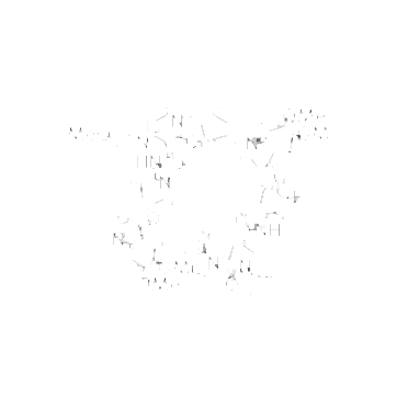 COCCNc1ccn(Cc2ccccc2)c(=O)c1C(=O)Nc1ccc(Oc2ccnc3cc(OC)c(OC)cc23)cn1.COc1cc2nccc(Oc3ccc(NC(=O)c4cc(N5CCCC5=O)c(=O)n(C5CCCC5)c4)cc3F)c2cc1OC